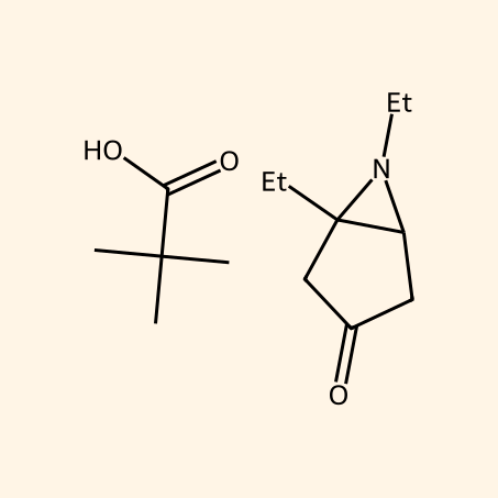 CC(C)(C)C(=O)O.CCN1C2CC(=O)CC21CC